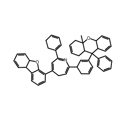 CC12CC=CCC1C(C1=CC(C3=CCC(c4cccc5c4OC4C=CC=CC54)=CC(C4=CC=CCC4)=N3)CC=C1)(c1ccccc1)C1C=CC=CC1O2